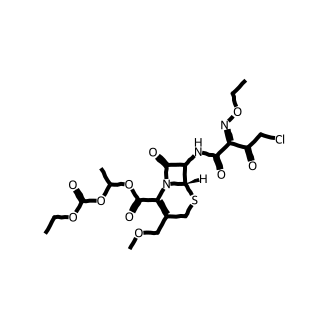 CCON=C(C(=O)CCl)C(=O)NC1C(=O)N2C(C(=O)OC(C)OC(=O)OCC)=C(COC)CS[C@@H]12